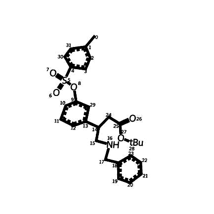 Cc1ccc(S(=O)(=O)Oc2cccc(C(CNCc3ccccc3)CC(=O)OC(C)(C)C)c2)cc1